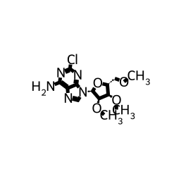 COC[C@H]1O[C@@H](n2cnc3c(N)nc(Cl)nc32)[C@H](OC)[C@@H]1OC